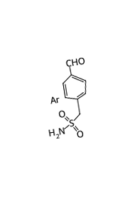 NS(=O)(=O)Cc1ccc(C=O)cc1.[Ar]